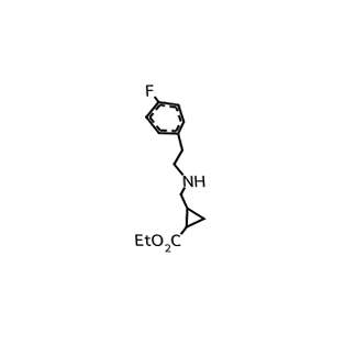 CCOC(=O)C1CC1CNCCc1ccc(F)cc1